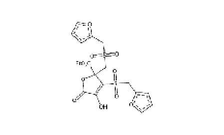 CCOC(=O)C1(CS(=O)(=O)Cc2ccco2)OC(=O)C(O)=C1S(=O)(=O)Cc1ccco1